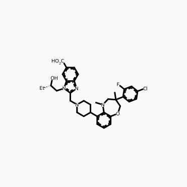 CC[C@H](O)Cn1c(CN2CCC(c3cccc4c3N(C)CC(C)(c3ccc(Cl)cc3F)CO4)CC2)nc2ccc(C(=O)O)cc21